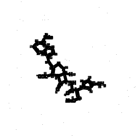 CO/N=C(\C(=O)N[C@@H]1C(=O)N2C(C(=O)[O-])=C(Cn3cc[n+]4c(SC)cccc34)CS[C@H]12)c1csc(N)n1